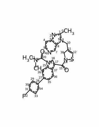 Cc1nc2ccncc2n1CC1=CSN(C(=O)c2cn(C(=O)N(C)C)c3cc(-c4ccc(F)cc4)ccc23)C1